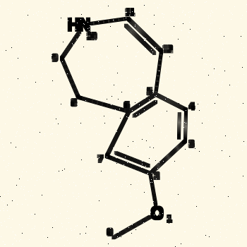 COc1ccc2c(c1)CCNC=C2